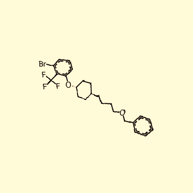 FC(F)(F)c1c(Br)cccc1O[C@H]1CC[C@H](CCCCOCc2ccccc2)CC1